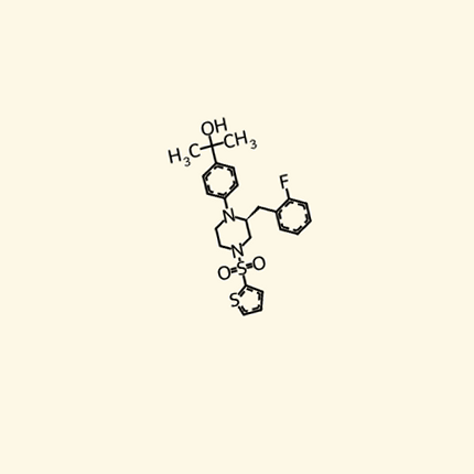 CC(C)(O)c1ccc(N2CCN(S(=O)(=O)c3cccs3)C[C@@H]2Cc2ccccc2F)cc1